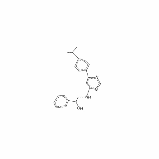 CC(C)c1ccc(-c2cc(NCC(O)c3ccccc3)ncn2)cc1